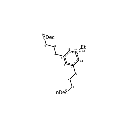 CCCCCCCCCCCCCc1cc(CCCCCCCCCCCCC)c[n+](CC)c1